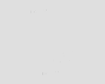 O=C(O)/C=C/c1ccc(-c2ccc(OCC(=O)O)c(C34CC5CC(CC(C5)C3)C4)c2)cc1